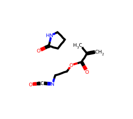 C=C(C)C(=O)OCCN=C=O.O=C1CCCN1